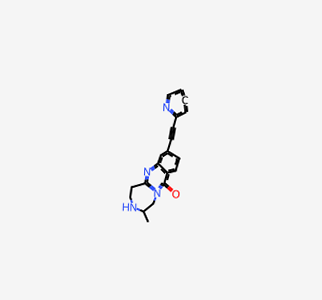 CC1Cn2c(nc3cc(C#Cc4ccccn4)ccc3c2=O)CCN1